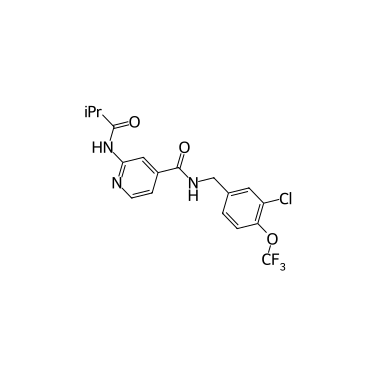 CC(C)C(=O)Nc1cc(C(=O)NCc2ccc(OC(F)(F)F)c(Cl)c2)ccn1